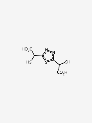 O=C(O)C(S)c1nnc(C(S)C(=O)O)s1